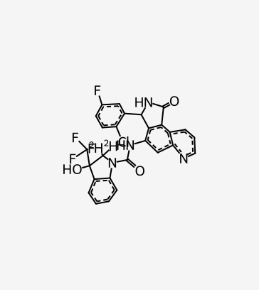 [2H]C1([2H])N(C(=O)Nc2cc3ncccc3c3c2C(c2cc(F)ccc2Cl)NC3=O)c2ccccc2C1(O)C(F)(F)F